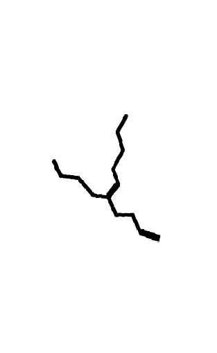 C=CCCC(=CCCCC)CCCC